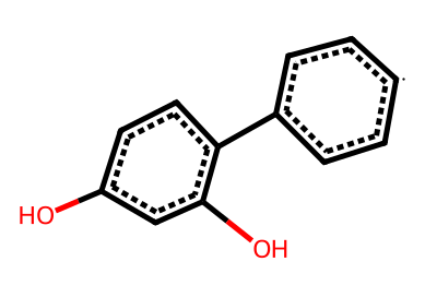 Oc1ccc(-c2cc[c]cc2)c(O)c1